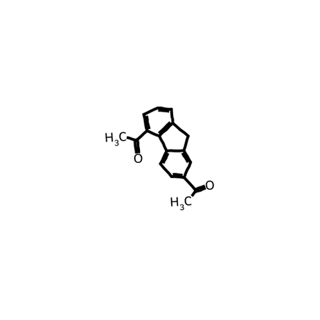 CC(=O)c1ccc2c(c1)Cc1cccc(C(C)=O)c1-2